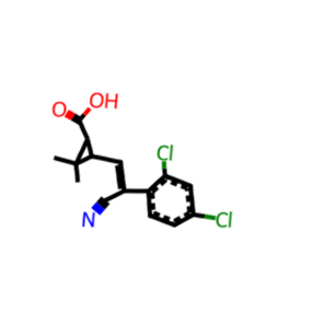 CC1(C)C(C=C(C#N)c2ccc(Cl)cc2Cl)C1C(=O)O